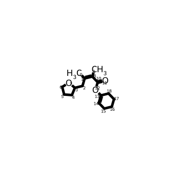 CC(CC1CCCO1)=C(C)C(=O)OC1=CCCCC1